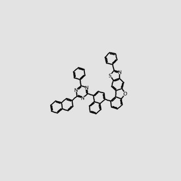 c1ccc(-c2nc(-c3ccc4ccccc4c3)nc(-c3ccc(-c4cccc5oc6cc7nc(-c8ccccc8)sc7cc6c45)c4ccccc34)n2)cc1